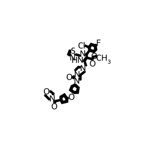 COC(=O)C1=C(CN2CCN3C(=O)N(c4ccc(Oc5ccc(C(=O)N6CCOCC6)cc5)cc4)CC3C2)NC(c2nccs2)=NC1c1ccc(F)cc1Cl